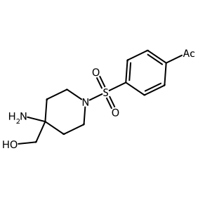 CC(=O)c1ccc(S(=O)(=O)N2CCC(N)(CO)CC2)cc1